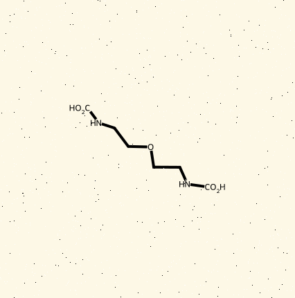 O=C(O)NCCOCCNC(=O)O